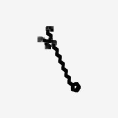 CC(C)N(C(C)C)P(CCC#N)OCCCCCCCCCCCC1=CC=CC1